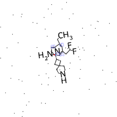 CC/C1=C/C(CC(F)F)=C\CC\C=C1/N=C(\N)C1CC2(CCNCC2)C1